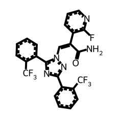 NC(=O)/C(=C\n1nc(-c2ccccc2C(F)(F)F)nc1-c1ccccc1C(F)(F)F)c1cccnc1F